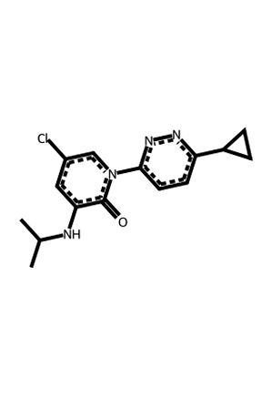 CC(C)Nc1cc(Cl)cn(-c2ccc(C3CC3)nn2)c1=O